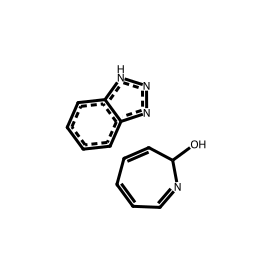 OC1C=CC=CC=N1.c1ccc2[nH]nnc2c1